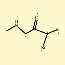 CNCC(=O)C(Br)Br